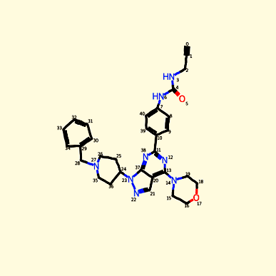 C#CCNC(=O)Nc1ccc(-c2nc(N3CCOCC3)c3cnn(C4CCN(Cc5ccccc5)CC4)c3n2)cc1